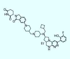 CC[C@@]12CNc3nnc(-c4cccc(F)c4O)cc3N1C[C@H](N(CC1CCC1)C1CCN(CC3CCN(c4ccc5c(c4)C(=O)N([C@H]4CCC(=O)NC4=O)C5)CC3)CC1)C2